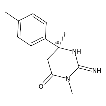 Cc1ccc([C@]2(C)CC(=O)N(C)C(=N)N2)cc1